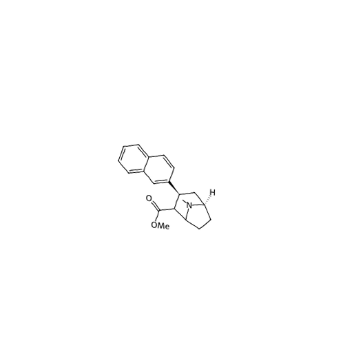 COC(=O)C1C2CC[C@H](C[C@@H]1c1ccc3ccccc3c1)N2C